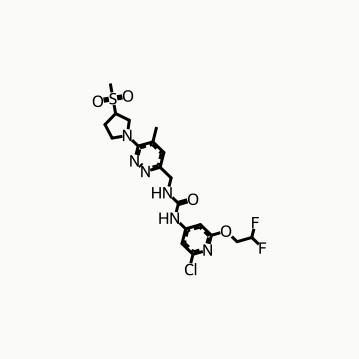 Cc1cc(CNC(=O)Nc2cc(Cl)nc(OCC(F)F)c2)nnc1N1CCC(S(C)(=O)=O)C1